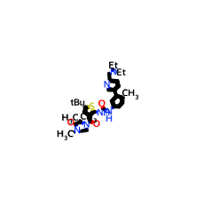 CCN(CC)Cc1ccc(-c2cc(NC(=O)Nc3sc(C(C)(C)C)cc3C(=O)N3CCN(C)C(=O)C3(C)C)ccc2C)cn1